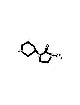 O=C1N(C2CCCNC2)CCN1C(F)(F)F